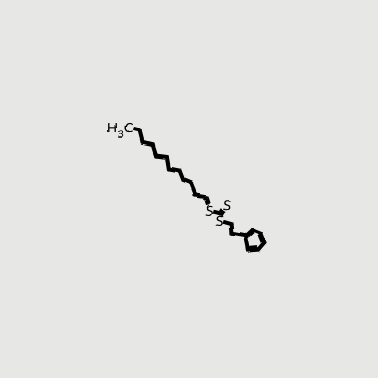 CCCCCCCCCCCCSC(=S)SCCc1ccccc1